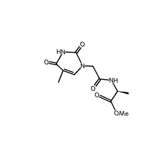 COC(=O)[C@H](C)NC(=O)Cn1cc(C)c(=O)[nH]c1=O